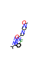 CC(=O)N1CCC(N2CCC(c3nc(-n4nc(C(C)C)c5cccc(F)c54)no3)C2)CC1